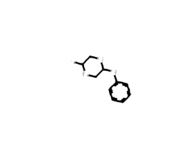 O=[N+]([O-])C1CNC(Nc2ccccc2)CN1